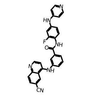 N#Cc1ccc2nccc(Nc3cccc(C(=O)Nc4ccc(Nc5ccncc5)cc4F)c3)c2c1